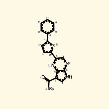 CC(C)(C)C(=O)c1c[nH]c2ncc(-c3ccc(-c4ccccc4)s3)nc12